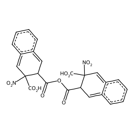 O=C(OC(=O)C1C=c2ccccc2=CC1(C(=O)O)[N+](=O)[O-])C1C=c2ccccc2=CC1(C(=O)O)[N+](=O)[O-]